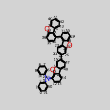 c1ccc(N(c2ccccc2)c2cccc3c2oc2cc(-c4ccc5c(c4)oc4cccc(-c6cccc7oc8ccccc8c67)c45)ccc23)cc1